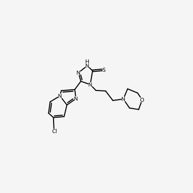 S=c1[nH]nc(-c2cn3ccc(Cl)cc3n2)n1CCCN1CCOCC1